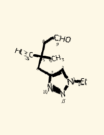 CCn1cc(CC(C)(C)CC=O)nn1